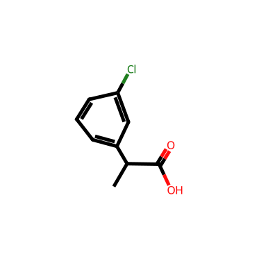 CC(C(=O)O)c1cccc(Cl)c1